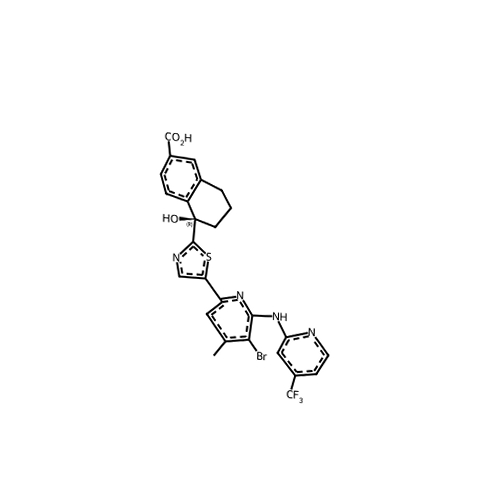 Cc1cc(-c2cnc([C@@]3(O)CCCc4cc(C(=O)O)ccc43)s2)nc(Nc2cc(C(F)(F)F)ccn2)c1Br